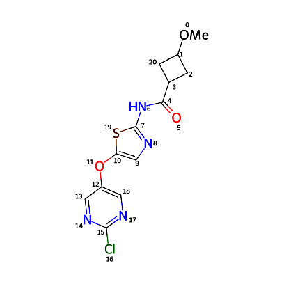 COC1CC(C(=O)Nc2ncc(Oc3cnc(Cl)nc3)s2)C1